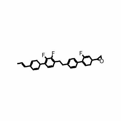 C/C=C/C1=CCC(c2ccc(CCc3ccc(C4=CCC(C5CO5)C=C4F)cc3)c(F)c2F)C=C1